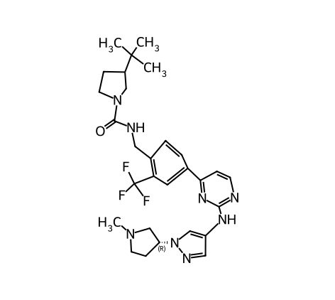 CN1CC[C@@H](n2cc(Nc3nccc(-c4ccc(CNC(=O)N5CCC(C(C)(C)C)C5)c(C(F)(F)F)c4)n3)cn2)C1